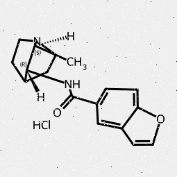 C[C@H]1[C@H](NC(=O)c2ccc3occc3c2)C2CCN1CC2.Cl